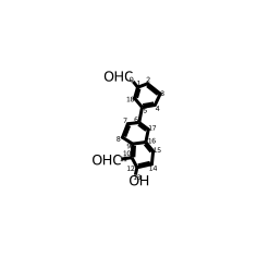 O=Cc1cccc(-c2ccc3c(C=O)c(O)ccc3c2)c1